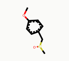 COc1ccc(C[S+](C)[O-])cc1